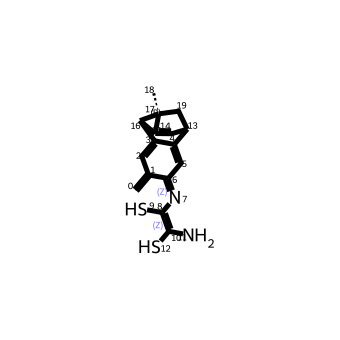 C=C1C=C2C(=C/C1=N/C(S)=C(\N)S)C1C=C3C2[C@@]3(C)C1